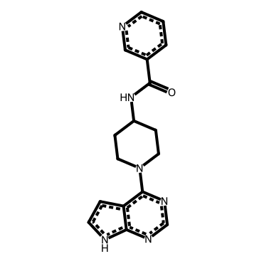 O=C(NC1CCN(c2ncnc3[nH]ccc23)CC1)c1cccnc1